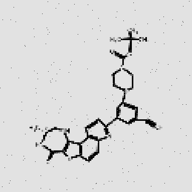 C#Cc1cc(-c2ccc3c(ccc4sc5c(c43)NC[C@@H](C)NC5=O)n2)cc(N2CCN(C(=O)OC(C)(C)C)CC2)c1